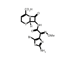 CON=C(C(=O)NC1C(=O)N2C(C(=O)O)=CCS[C@@H]12)c1nc(N)sc1Br